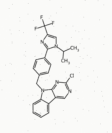 CC(C)n1cc(C(F)(F)F)nc1-c1ccc(Cn2c3ccccc3c3cnc(Cl)nc32)cc1